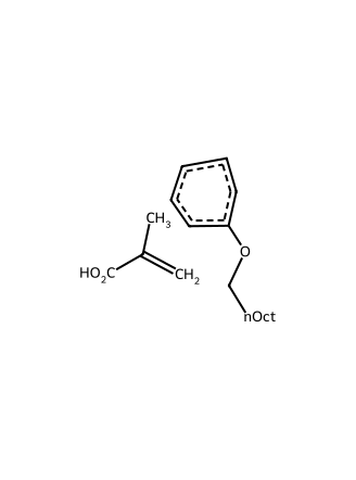 C=C(C)C(=O)O.CCCCCCCCCOc1ccccc1